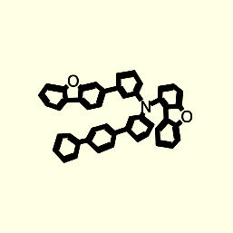 c1ccc(-c2ccc(-c3cccc(N(c4cccc(-c5ccc6c(c5)oc5ccccc56)c4)c4cccc5oc6ccccc6c45)c3)cc2)cc1